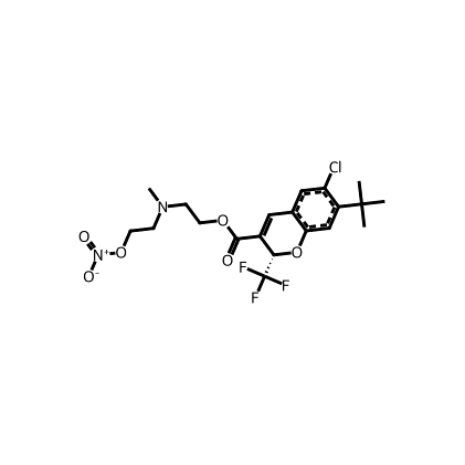 CN(CCOC(=O)C1=Cc2cc(Cl)c(C(C)(C)C)cc2O[C@@H]1C(F)(F)F)CCO[N+](=O)[O-]